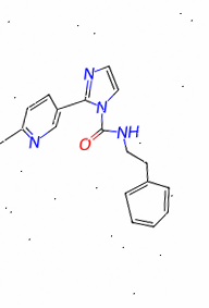 Cc1ccc(-c2nccn2C(=O)NCCc2ccccc2)cn1